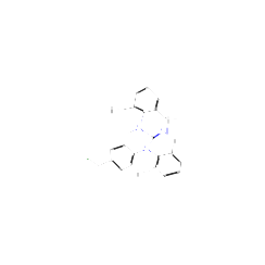 CC(C)c1cccc(C(C)C)c1N(C)C(=N)N(c1ccc(CCl)cc1)c1c(C(C)C)cccc1C(C)C